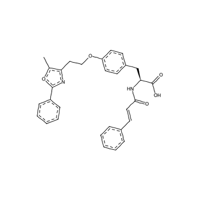 Cc1oc(-c2ccccc2)nc1CCOc1ccc(C[C@H](NC(=O)/C=C/c2ccccc2)C(=O)O)cc1